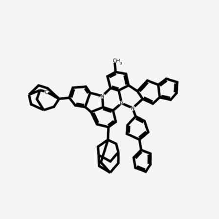 Cc1cc2c3c(c1)-n1c4ccc(C56CCC7CC(CC7C5)C6)cc4c4cc(C56CC7CC(CC(C7)C5)C6)cc(c41)B3N(c1ccc(-c3ccccc3)cc1)c1cc3ccccc3cc1-2